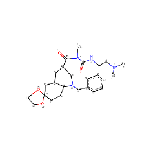 CCCCN(C(=O)NCCN(CC)CC)C(=O)C1CC2CC3(CCC2N(Cc2ccccc2)C1)OCCO3